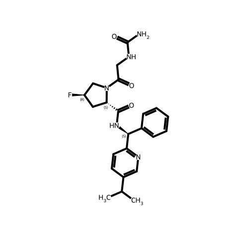 CC(C)c1ccc([C@@H](NC(=O)[C@@H]2C[C@@H](F)CN2C(=O)CNC(N)=O)c2ccccc2)nc1